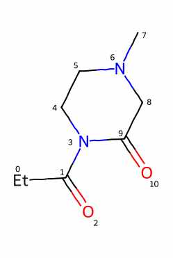 CCC(=O)N1CCN(C)CC1=O